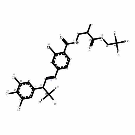 CC(CNC(=O)c1ccc(/C=C/C(c2cc(Cl)c(Cl)c(Cl)c2)C(F)(F)F)cc1Cl)C(=O)NCC(F)(F)F